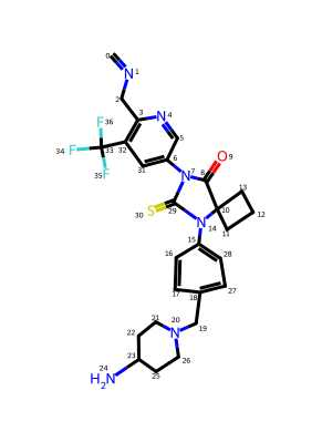 C=NCc1ncc(N2C(=O)C3(CCC3)N(c3ccc(CN4CCC(N)CC4)cc3)C2=S)cc1C(F)(F)F